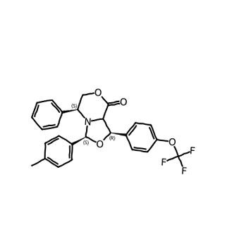 Cc1ccc([C@@H]2O[C@H](c3ccc(OC(F)(F)F)cc3)C3C(=O)OC[C@H](c4ccccc4)N32)cc1